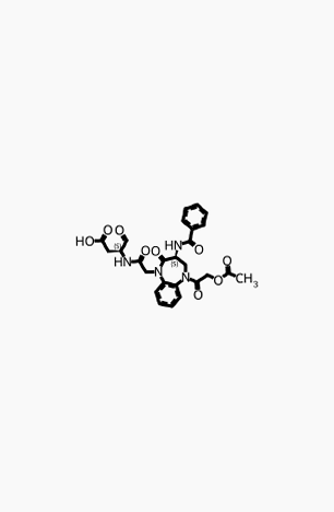 CC(=O)OCC(=O)N1C[C@H](NC(=O)c2ccccc2)C(=O)N(CC(=O)N[C@H](C=O)CC(=O)O)c2ccccc21